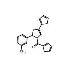 Cc1cccc(C2CC(C3=CC=CC3)=NC2C(=O)C2=CC=CC2)c1